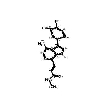 CNC(=O)/C=C/c1cnc(N)c2c(-c3ccc(F)c(Cl)c3)csc12